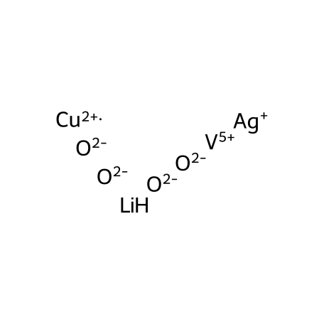 [Ag+].[Cu+2].[LiH].[O-2].[O-2].[O-2].[O-2].[V+5]